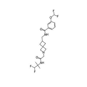 CC(C)(NC(=O)CN1CC2(CC(CNC(=O)c3cccc(OC(F)F)c3)C2)C1)C(F)F